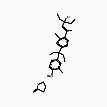 CCC(O)(C=C(C)c1ccc(C(CC)(CC)c2ccc(OC[C@@H]3CCC(=O)O3)c(C)c2)cc1C)CC